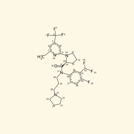 Cc1cc(C(F)(F)F)cc(N2CCC[C@H]2C(=O)N(CCCN2CCCC2)c2ccc(F)c(C(F)F)c2)n1